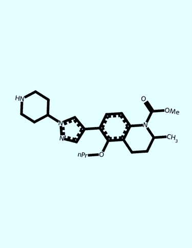 CCCOc1c(-c2cnn(C3CCNCC3)c2)ccc2c1CCC(C)N2C(=O)OC